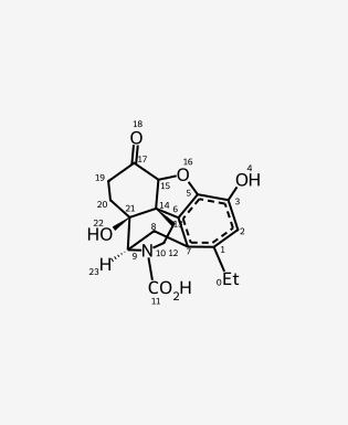 CCc1cc(O)c2c3c1C[C@H]1N(C(=O)O)CC[C@@]34C(O2)C(=O)CC[C@@]14O